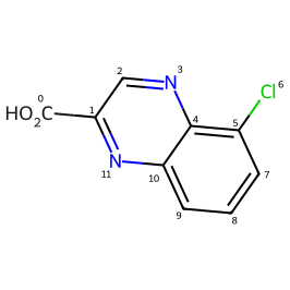 O=C(O)c1cnc2c(Cl)cccc2n1